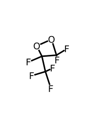 FC(F)(F)C1(F)OOC1(F)F